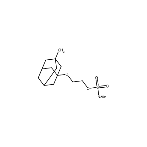 CNS(=O)(=O)OCCOC12CC3CC(CC(C)(C3)C1)C2